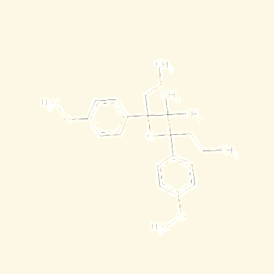 CCCC1(c2ccc(OC)cc2)OC(CCC)(c2ccc(OC)cc2)C1(C)C